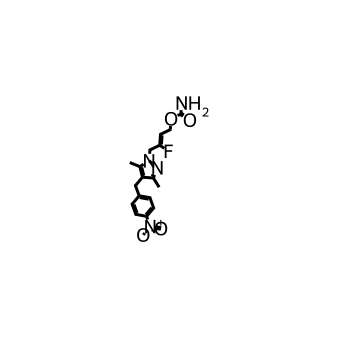 Cc1nn(CC(F)=CCOC(N)=O)c(C)c1Cc1ccc([N+](=O)[O-])cc1